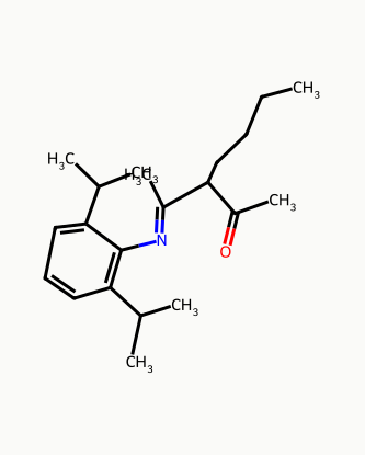 CCCCC(C(C)=O)C(C)=Nc1c(C(C)C)cccc1C(C)C